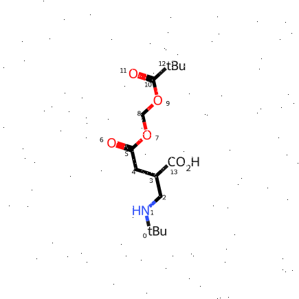 CC(C)(C)NCC(CC(=O)OCOC(=O)C(C)(C)C)C(=O)O